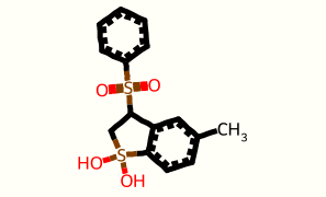 Cc1ccc2c(c1)C(S(=O)(=O)c1ccccc1)CS2(O)O